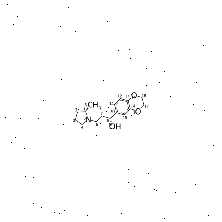 C[C@@H]1CCCN1CC[C@@H](O)c1ccc2c(c1)OCCO2